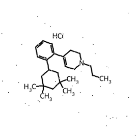 CCCN1CC=C(c2ccccc2C2CC(C)(C)CC(C)(C)C2)CC1.Cl